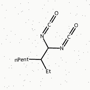 CCCCCC(CC)C(N=C=O)N=C=O